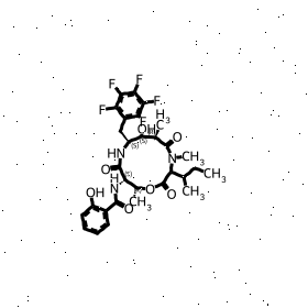 CCC(C)C1C(=O)O[C@H](C)[C@H](NC(=O)c2ccccc2O)C(=O)N[C@@H](Cc2c(F)c(F)c(F)c(F)c2F)[C@@H](O)[C@@H](C)C(=O)N1C